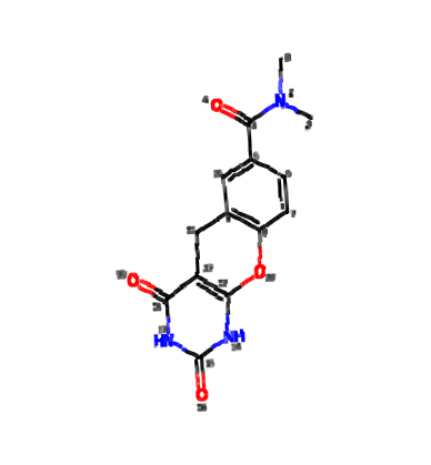 CN(C)C(=O)c1ccc2c(c1)Cc1c([nH]c(=O)[nH]c1=O)O2